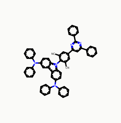 N#Cc1cc(-c2cc(-c3ccccc3)nc(-c3ccccc3)n2)cc(C#N)c1-n1c2ccc(N(c3ccccc3)c3ccccc3)cc2c2cc(N(c3ccccc3)c3ccccc3)ccc21